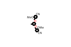 COc1cc(C#N)ccc1COc1cc(C)cc(OCc2ccc(C#N)cc2OC)c1